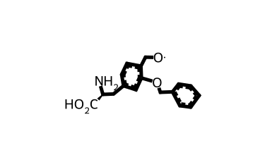 N[C@@H](Cc1ccc(C[O])c(OCc2ccccc2)c1)C(=O)O